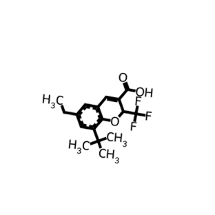 CCc1cc2c(c(C(C)(C)C)c1)OC(C(F)(F)F)C(C(=O)O)=C2